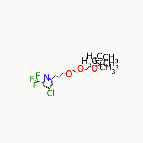 CC(C)(C)[Si](C)(C)OCCOCCOCCCc1cc(Cl)cc(C(F)(F)F)n1